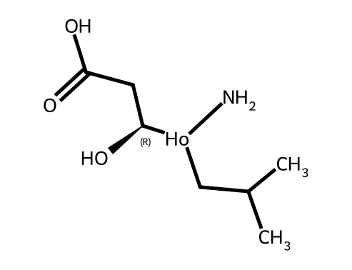 CC(C)[CH2][Ho]([NH2])[C@@H](O)CC(=O)O